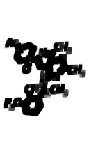 CC(=O)N1CCP(=O)(c2cc3c(N[C@H](C)c4cccc(C(F)(F)F)c4C)nc(C)nc3c(C)n2)CC1